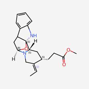 C/C=C1\CN2[C@@H](C[C@@H]1CCC(=O)OC)[C@]13Nc4ccccc4C1C[C@H]2O3